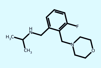 CC(C)NCc1cccc(F)c1CN1CCOCC1